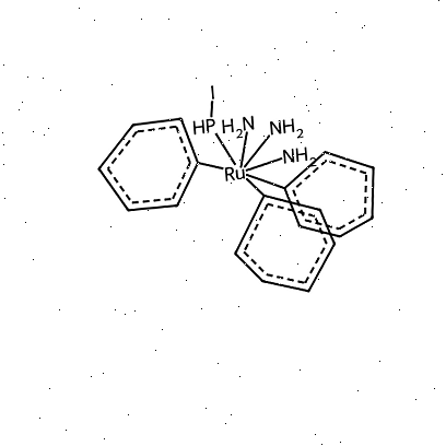 [NH2][Ru]([NH2])([NH2])([PH]I)([c]1ccccc1)([c]1ccccc1)[c]1ccccc1